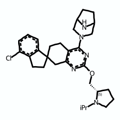 CC(C)N1CCC[C@H]1COc1nc2c(c(N3CC4CCC(C3)N4)n1)CCC1(CCc3c(Cl)cccc31)C2